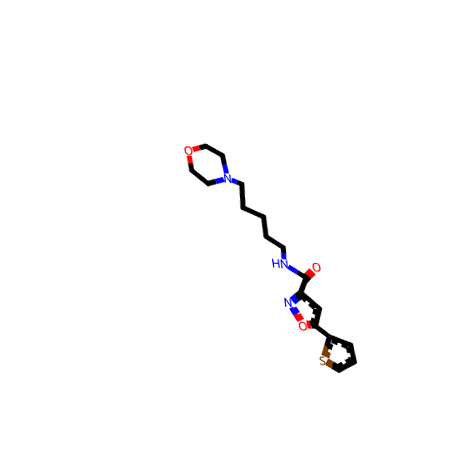 O=C(NCCCCCN1CCOCC1)c1cc(-c2cccs2)on1